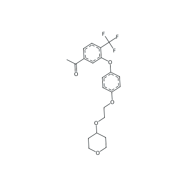 CC(=O)c1ccc(C(F)(F)F)c(Oc2ccc(OCCOC3CCOCC3)cc2)c1